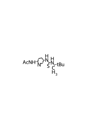 CC(=O)Nc1ccc(NC(=S)NC(C)C(C)(C)C)cn1